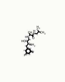 CC(C)CNC(=O)C(C)NC[C@@H](O)[C@@H](N)Cc1cc(F)cc(F)c1